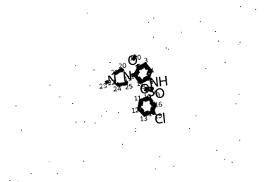 COc1ccc(NS(=O)(=O)c2cccc(Cl)c2)cc1N1CCN(C)CC1